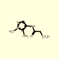 CCOC(=O)CC(=O)Nc1cnn(C)c1N